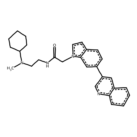 CN(CCNC(=O)Cn1ccc2ccc(-c3cnc4ccccc4c3)cc21)C1CCCCC1